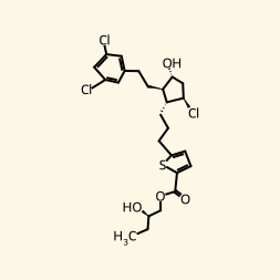 CC[C@@H](O)COC(=O)c1ccc(CCC[C@@H]2[C@@H](CCc3cc(Cl)cc(Cl)c3)[C@H](O)C[C@H]2Cl)s1